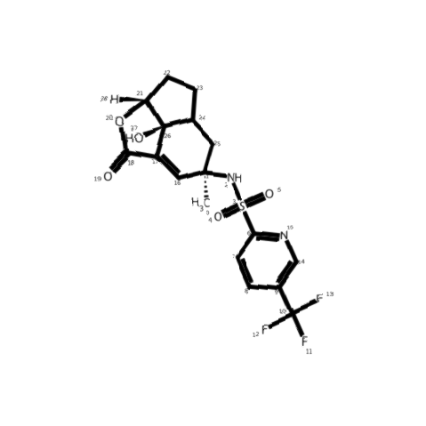 C[C@]1(NS(=O)(=O)c2ccc(C(F)(F)F)cn2)C=C2C(=O)O[C@@H]3CCC(C1)[C@]23O